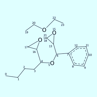 CCCCC(OC(c1ccccc1)C1CO1)C1CO1.CCOCC